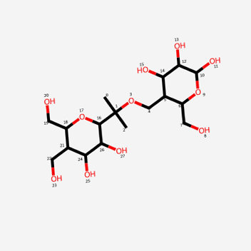 CC(C)(OCC1C(CO)OC(O)C(O)C1O)C1OC(CO)C(CO)C(O)C1O